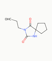 O=CCCN1C(=O)NC2(CCCC2)C1=O